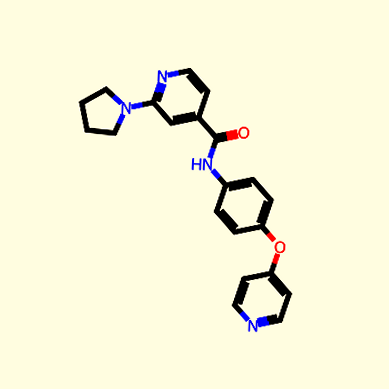 O=C(Nc1ccc(Oc2ccncc2)cc1)c1ccnc(N2CCCC2)c1